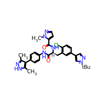 Cc1n[nH]c(C)c1-c1ccc(NC(=O)[C@H](Cc2cc(-c3cnn(C(C)(C)C)c3)ccc2Cl)NC(=O)c2ccnn2C)cc1